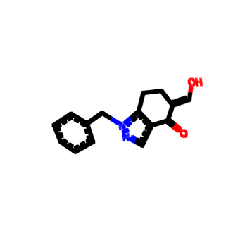 O=C1/C(=C/O)CCc2c1cnn2Cc1ccccc1